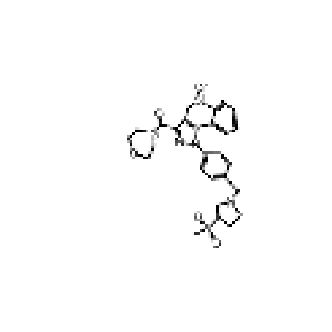 CS(=O)(=O)C1CCN(Cc2ccc(-n3nc(C(=O)N4CCOCC4)c4c3-c3ccccc3[S+]([O-])C4)cc2)C1